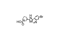 O=C(O)N1CCC[C@@H](c2nc3cnc4cc(Br)ccc4c3[nH]2)C1